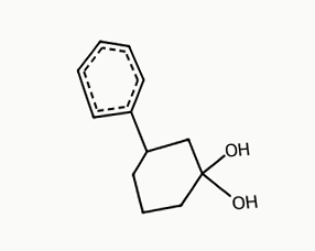 OC1(O)CCCC(c2ccccc2)C1